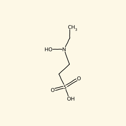 CCN(O)CCS(=O)(=O)O